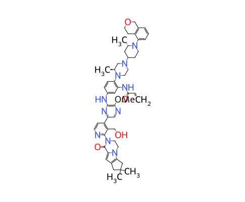 C=CC(=O)Nc1cc(Nc2nc(-c3ccnc(N4CCn5c(cc6c5CC(C)(C)C6)C4=O)c3CO)cnc2OC)ccc1N1CCN(C2CCN(c3cccc4c3CCOC4)[C@@H](C)C2)C[C@@H]1C